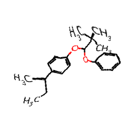 CCC(C)c1ccc(OC(Oc2ccccc2)C(C)(C)C)cc1